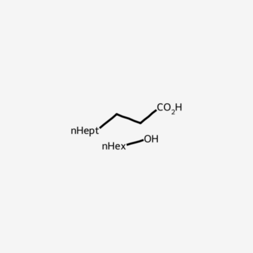 CCCCCCCCCC(=O)O.CCCCCCO